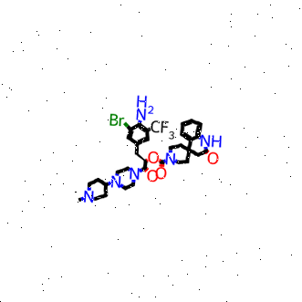 CN1CCC(N2CCN(C(=O)[C@@H](Cc3cc(Br)c(N)c(C(F)(F)F)c3)OC(=O)N3CCC4(CC3)CC(=O)Nc3ccccc34)CC2)CC1